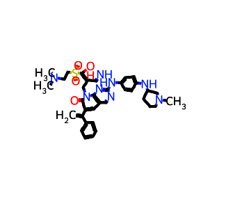 C=C(c1ccccc1)c1cc2cnc(Nc3ccc(NC4CCCN(C)C4)cc3)nc2n(C/C(C=N)=C(/O)S(=O)(=O)CCN(C)C)c1=O